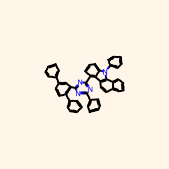 c1ccc(-c2ccc(-c3ccccc3)c(-c3nc(-c4ccccc4)nc(-c4cccc5c4c4ccc6ccccc6c4n5-c4ccccc4)n3)c2)cc1